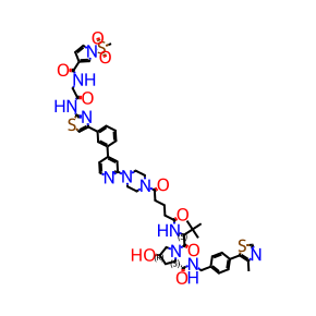 Cc1ncsc1-c1ccc(CNC(=O)[C@@H]2C[C@@H](O)CN2C(=O)[C@@H](NC(=O)CCCC(=O)N2CCN(c3cc(-c4cccc(-c5csc(NC(=O)CNC(=O)c6ccn(S(C)(=O)=O)c6)n5)c4)ccn3)CC2)C(C)(C)C)cc1